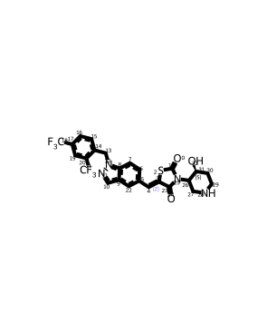 O=C1S/C(=C\c2ccc3c(cnn3Cc3ccc(C(F)(F)F)cc3C(F)(F)F)c2)C(=O)N1C1CNCC[C@@H]1O